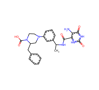 CC(NC(=O)c1[nH]c(=O)[nH]c(=O)c1N)c1cccc(N2CCN(C(=O)O)C(Cc3ccccc3)C2)c1